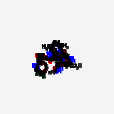 CCCNC(=O)Nc1cccc(S(=O)(=O)Nc2cccc(C(CC(=O)O)NC(=O)Nc3ccc(NC(=O)NCCN(C)CCN(C)CCN(C)CC(=O)NC(C(=O)NC(CCCNC(N)=O)C(=O)NCOCC(=O)N=S(C)(=O)Cc4cc5cc(c4)OCCCCOc4cc(F)ccc4-c4nc(ncc4F)N5)C(C)C)cc3)c2)c1